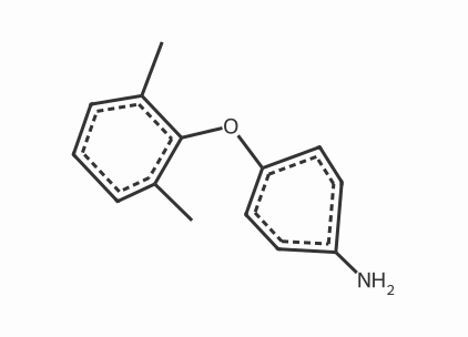 Cc1cccc(C)c1Oc1ccc(N)cc1